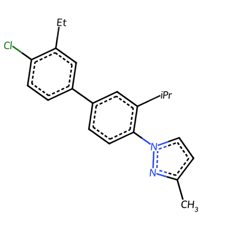 CCc1cc(-c2ccc(-n3ccc(C)n3)c(C(C)C)c2)ccc1Cl